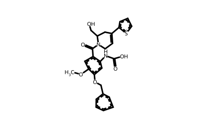 COc1cc(C(=O)N2CC=C(c3cccs3)CC2CO)c(NC(=O)O)cc1OCc1ccccc1